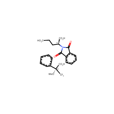 CO[C@@](C(=O)O)(c1ccccc1)C(F)(F)F.O=C(O)CC[C@@H](C(=O)O)N1C(=O)c2ccccc2C1=O